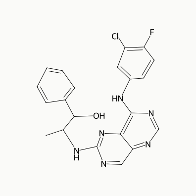 CC(Nc1ncc2ncnc(Nc3ccc(F)c(Cl)c3)c2n1)C(O)c1ccccc1